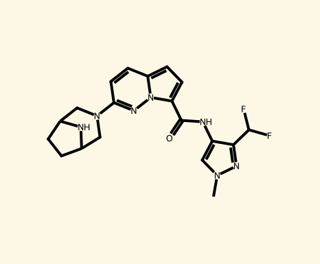 Cn1cc(NC(=O)c2ccc3ccc(N4CC5CCC(C4)N5)nn23)c(C(F)F)n1